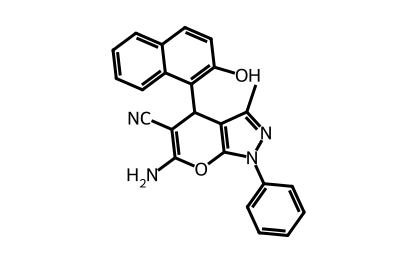 Cc1nn(-c2ccccc2)c2c1C(c1c(O)ccc3ccccc13)C(C#N)=C(N)O2